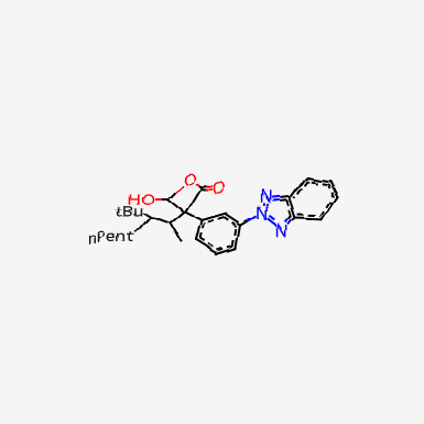 CCCCCC(C(C)C1(c2cccc(-n3nc4ccccc4n3)c2)C(=O)OC1O)C(C)(C)C